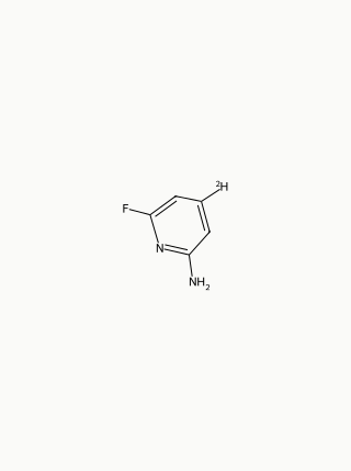 [2H]c1cc(N)nc(F)c1